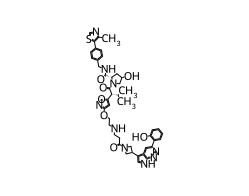 Cc1ncsc1-c1ccc(CNC(=O)[C@@H]2C[C@@H](O)CN2C(=O)[C@@H](c2cc(OCCNCCC(=O)N3CC(c4c[nH]c5nnc(-c6ccccc6O)cc45)C3)no2)C(C)C)cc1